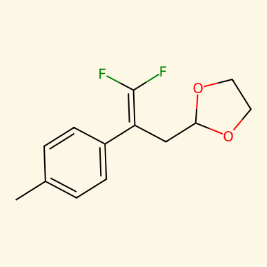 Cc1ccc(C(CC2OCCO2)=C(F)F)cc1